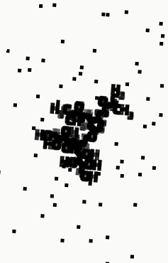 CC(C)C(=O)SCc1ccc(OCCN(C[C@@H](O)[C@@H](O)[C@H](O)CO)C[C@@H](O)[C@@H](O)[C@H](O)CO)cc1CSC(=O)C(C)C